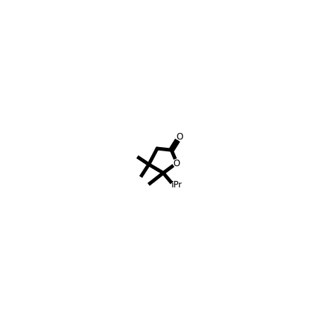 CC(C)C1(C)OC(=O)CC1(C)C